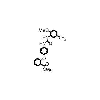 CNC(=O)c1ccccc1Oc1ccc(NC(=O)Nc2cc(C(F)(F)F)ccc2OC)cc1